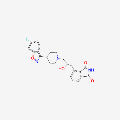 O=C1NC(=O)c2c(CC(O)CN3CCC(c4noc5cc(F)ccc45)CC3)cccc21